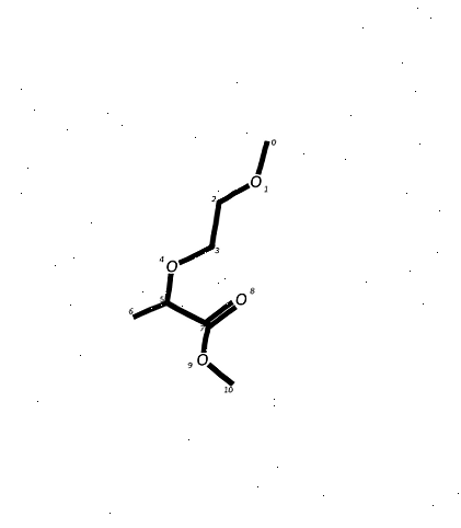 COCCOC(C)C(=O)OC